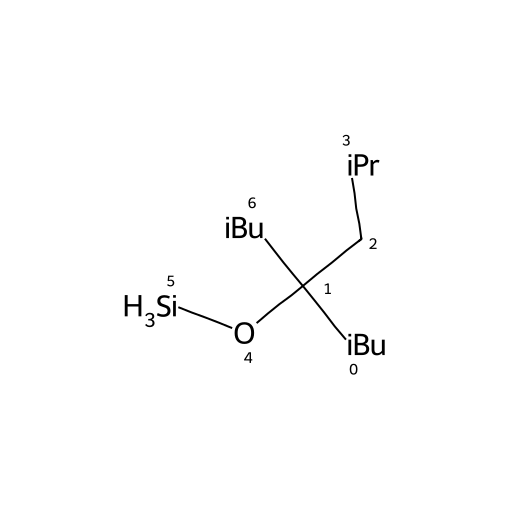 CCC(C)C(CC(C)C)(O[SiH3])C(C)CC